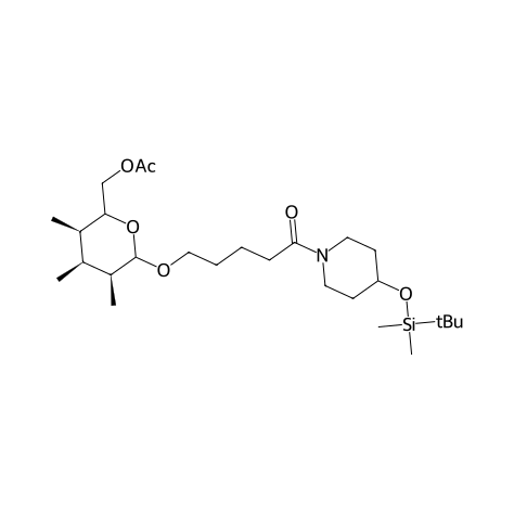 CC(=O)OCC1OC(OCCCCC(=O)N2CCC(O[Si](C)(C)C(C)(C)C)CC2)[C@@H](C)[C@@H](C)[C@H]1C